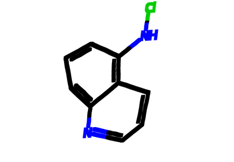 ClNc1cccc2ncccc12